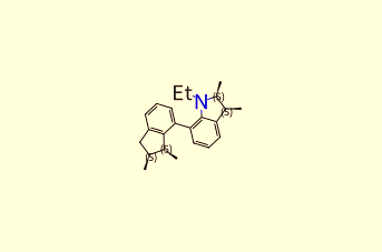 CCN1c2c(-c3cccc4c3[C@@H](C)[C@@H](C)C4)cccc2[C@H](C)[C@@H]1C